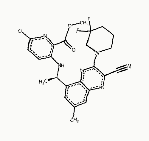 COC(=O)c1nc(Cl)ccc1N[C@H](C)c1cc(C)cc2nc(C#N)c(N3CCCC(F)(F)C3)nc12